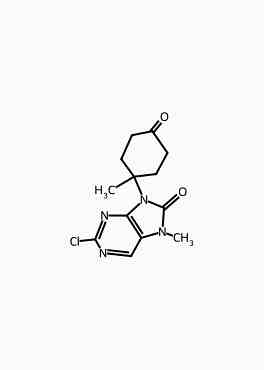 Cn1c(=O)n(C2(C)CCC(=O)CC2)c2nc(Cl)ncc21